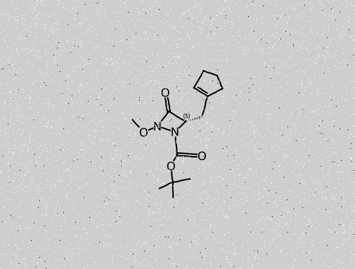 CON1C(=O)[C@H](CC2=CCCC2)N1C(=O)OC(C)(C)C